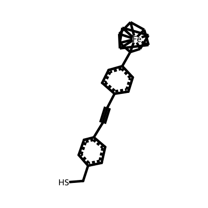 SCc1ccc(C#Cc2ccc([C]34[CH]5[CH]6[CH]7[CH]3[Fe]6754389%10[CH]4[CH]3[CH]8[CH]9[CH]4%10)cc2)cc1